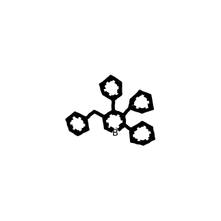 b1cc(Cc2ccccc2)c(-c2ccccc2)c(-c2ccccc2)c1-c1ccccc1